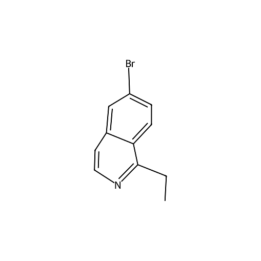 CCc1nccc2cc(Br)ccc12